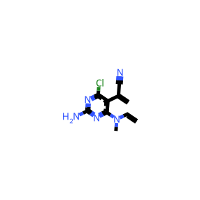 C=CN(C)c1nc(N)nc(Cl)c1C(=C)C#N